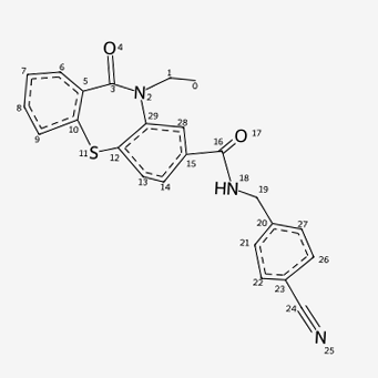 CCN1C(=O)c2ccccc2Sc2ccc(C(=O)NCc3ccc(C#N)cc3)cc21